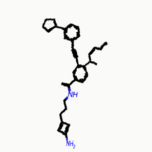 C=C/C=C\C(C)c1ccc(C(=C)NCCCC2=CC(N)=C2)cc1C#Cc1cccc(C2CCCC2)c1